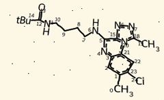 Cc1cc2nc(NCCCCNC(=O)C(C)(C)C)c3nnc(C)n3c2cc1Cl